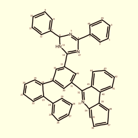 c1ccc(C2=NC(c3ccccc3)NC(c3cc(-c4ccccc4-c4ccccc4)cc(-c4nc5ccccc5c5ccccc45)c3)=N2)cc1